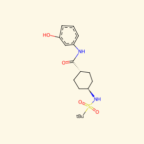 CC(C)(C)S(=O)(=O)N[C@H]1CC[C@H](C(=O)Nc2cccc(O)c2)CC1